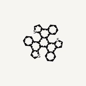 c1ccc2c(c1)c1ccsc1c1c2c2c3sccc3c3ccccc3c2c2c3sccc3c3ccccc3c12